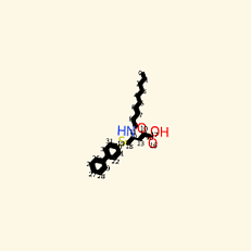 CCCCCC/C=C/CC(=O)N[C@@H](CCC(=O)O)CSc1ccc(-c2ccccc2)cc1